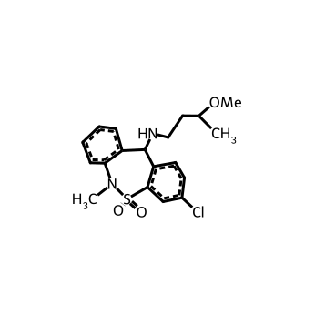 COC(C)CCNC1c2ccccc2N(C)S(=O)(=O)c2cc(Cl)ccc21